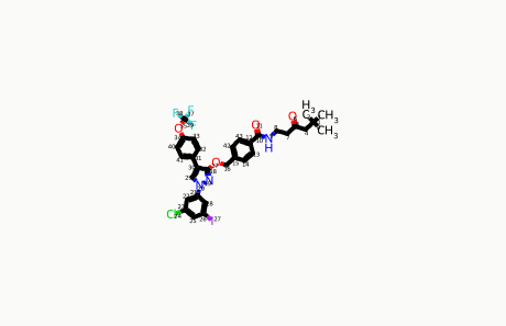 CC(C)(C)CC(=O)CCNC(=O)c1ccc(COc2nn(-c3cc(Cl)cc(I)c3)cc2-c2ccc(OC(F)(F)F)cc2)cc1